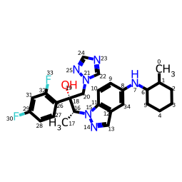 CC1CCCCC1Nc1ccc2c(cnn2[C@H](C)[C@](O)(Cn2cncn2)c2ccc(F)cc2F)c1